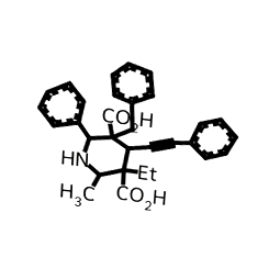 CCC1(C(=O)O)C(C)NC(c2ccccc2)C(Cc2ccccc2)(C(=O)O)C1C#Cc1ccccc1